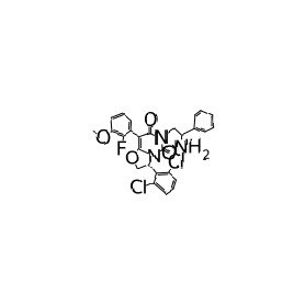 COc1cccc(-c2c3n(c(=O)n(CC(N)c4ccccc4)c2=O)C(c2c(Cl)cccc2Cl)CO3)c1F